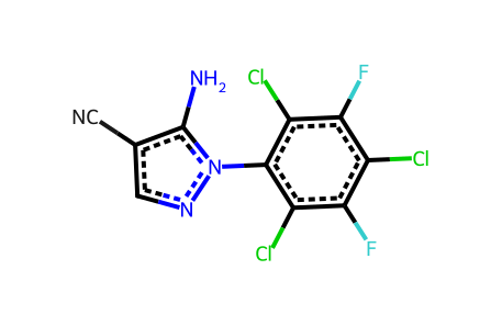 N#Cc1cnn(-c2c(Cl)c(F)c(Cl)c(F)c2Cl)c1N